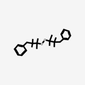 CC(C)(Cc1ccccc1)C(C)(C)OOC(C)(C)C(C)(C)Cc1ccccc1